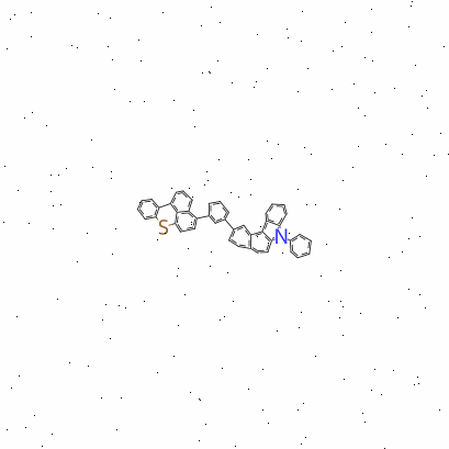 c1ccc(-n2c3ccccc3c3c4cc(-c5cccc(-c6ccc7c8c(cccc68)-c6ccccc6S7)c5)ccc4ccc32)cc1